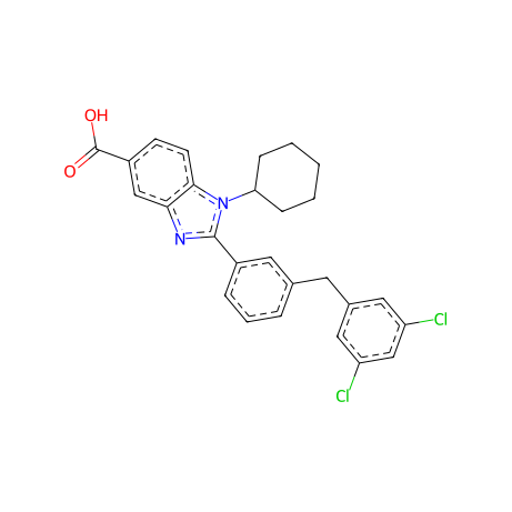 O=C(O)c1ccc2c(c1)nc(-c1cccc(Cc3cc(Cl)cc(Cl)c3)c1)n2C1CCCCC1